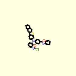 Clc1nc2cccc(N(c3ccc(-c4nc5ccccc5o4)cc3)c3ccc4c(c3)sc3cc5ccccc5cc34)c2o1